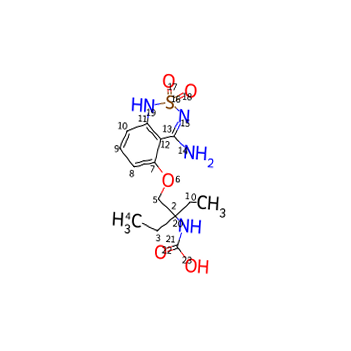 CCC(CC)(COc1cccc2c1C(N)=NS(=O)(=O)N2)NC(=O)O